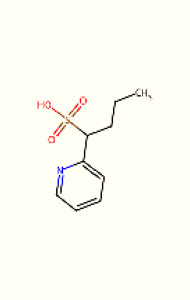 CCCC(c1ccccn1)S(=O)(=O)O